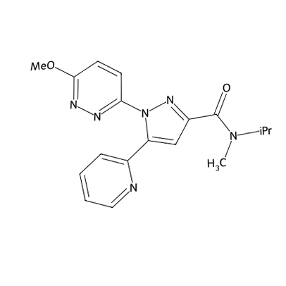 COc1ccc(-n2nc(C(=O)N(C)C(C)C)cc2-c2ccccn2)nn1